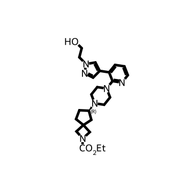 CCOC(=O)N1CC2(CC[C@@H](N3CCN(c4ncccc4-c4cnn(CCO)c4)CC3)C2)C1